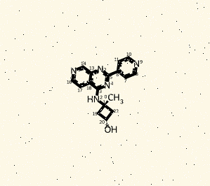 C[C@]1(Nc2nc(-c3ccncc3)nc3cnccc23)C[C@@H](O)C1